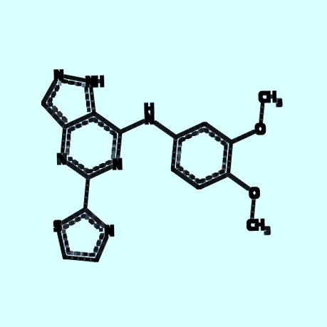 COc1ccc(Nc2nc(-c3nccs3)nc3cn[nH]c23)cc1OC